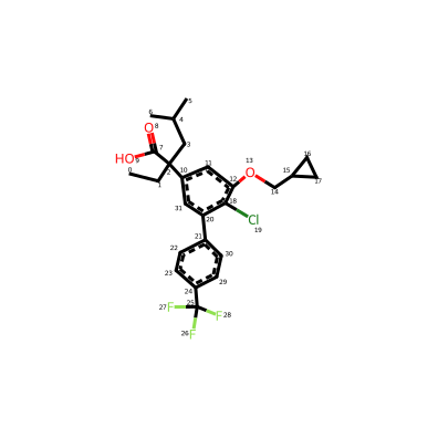 CCC(CC(C)C)(C(=O)O)c1cc(OCC2CC2)c(Cl)c(-c2ccc(C(F)(F)F)cc2)c1